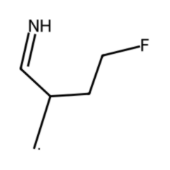 [CH2]C(C=N)CCF